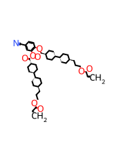 C=CC(=O)OCCC[C@H]1CC[C@H]([C@H]2CC[C@H](C(=O)Oc3ccc(C#N)cc3OC(=O)[C@H]3CC[C@H]([C@H]4CC[C@H](CCCOC(=O)C=C)CC4)CC3)CC2)CC1